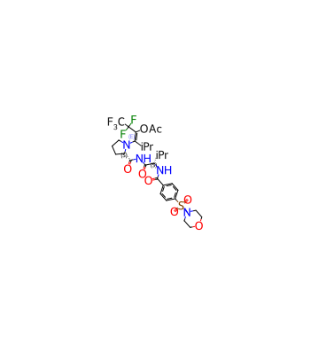 CC(=O)O/C(=C(\C(C)C)N1CCC[C@H]1C(=O)NC(=O)[C@@H](NC(=O)c1ccc(S(=O)(=O)N2CCOCC2)cc1)C(C)C)C(F)(F)C(F)(F)F